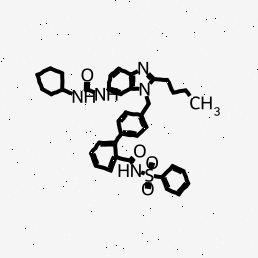 CCCCc1nc2ccc(NC(=O)NC3CCCCC3)cc2n1Cc1ccc(-c2ccccc2C(=O)NS(=O)(=O)c2ccccc2)cc1